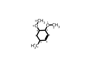 COC1C=CC(C)CC1OC